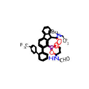 CCCCN(CC(F)(F)F)C(=O)C1c2ccccc2-c2ccc(-c3ccccc3-c3ccc(C(F)(F)F)cc3)c(P3OCCC(NC=O)O3)c21